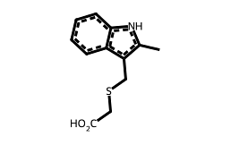 Cc1[nH]c2ccccc2c1CSCC(=O)O